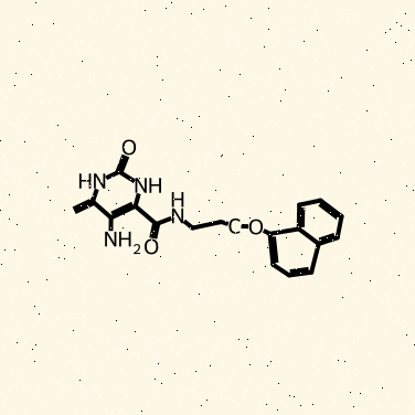 C=C1NC(=O)NC(C(=O)NCCCOc2cccc3ccccc23)=C1N